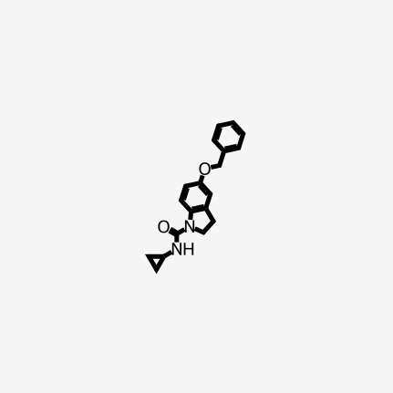 O=C(NC1CC1)N1CCc2cc(OCc3ccccc3)ccc21